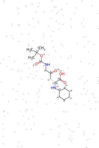 CC(C)(C)OC(=O)NCC(=O)C[C@@H](NC1CCCCC1)C(=O)O